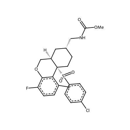 COC(=O)NC[C@@H]1CC[C@@]2(S(=O)(=O)c3ccc(Cl)cc3)c3c(F)ccc(F)c3OC[C@H]2C1